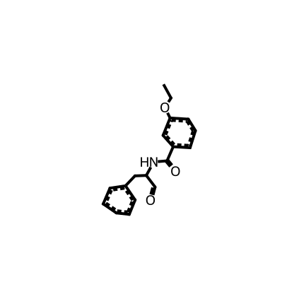 CCOc1cccc(C(=O)NC(C=O)Cc2ccccc2)c1